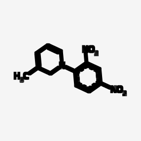 CC1=CC=CN(c2ccc([N+](=O)[O-])cc2[N+](=O)[O-])C1